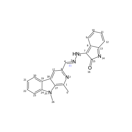 Cc1nc(/C=N/NC2=c3ccccc3=NC2=O)cc2c3ccccc3n(C)c12